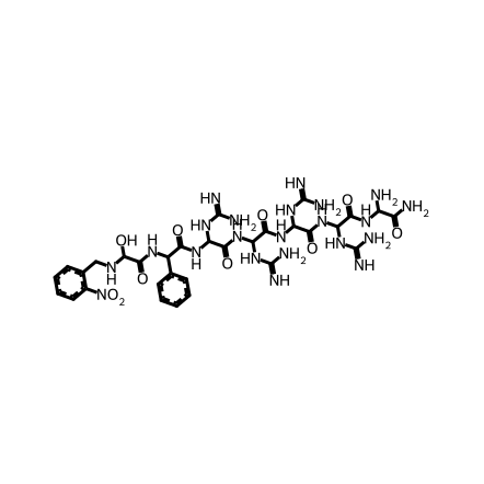 N=C(N)NC(NC(=O)C(NC(=N)N)NC(=O)C(NC(=N)N)NC(=O)C(NC(=N)N)NC(=O)C(NC(=O)C(O)NCc1ccccc1[N+](=O)[O-])c1ccccc1)C(=O)NC(N)C(N)=O